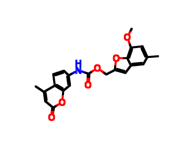 COc1cc(C)cc2cc(COC(=O)Nc3ccc4c(C)cc(=O)oc4c3)oc12